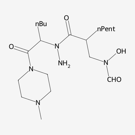 CCCCCC(CN(O)C=O)C(=O)N(N)C(CCCC)C(=O)N1CCN(C)CC1